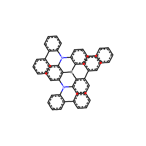 c1ccc(-c2ccc3c(c2)B2c4c(-c5ccccc5)cccc4N(c4ccccc4-c4ccccc4)c4cccc(c42)N3c2ccccc2-c2ccccc2)cc1